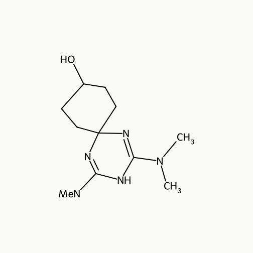 CNC1=NC2(CCC(O)CC2)N=C(N(C)C)N1